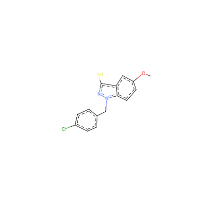 COc1ccc2c(c1)c(S)nn2Cc1ccc(Cl)cc1